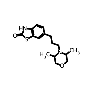 CC1COCC(C)N1CCCc1ccc2[nH]c(=O)sc2c1